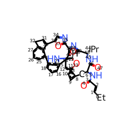 CC/C=C/C(=O)NC1Cc2ccc3c(c2)C24c5cccc(c5N[C@H]2O3)-c2cccc3c2C(=CC3)c2cnc(o2)-c2nc(oc24)[C@H](C(C)C)NC1=O